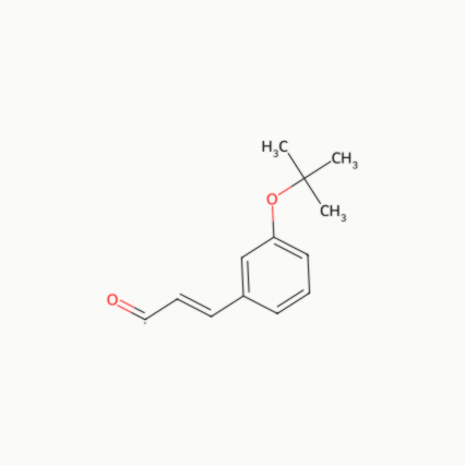 CC(C)(C)Oc1cccc(/C=C/[C]=O)c1